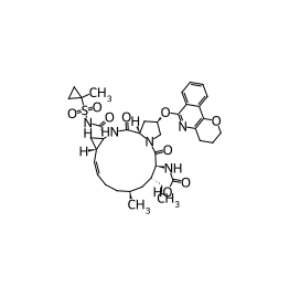 CC[C@@H]1C[C@@H](C)CCC=C[C@@H]2C[C@@]2(C(=O)NS(=O)(=O)C2(C)CC2)NC(=O)[C@@H]2C[C@@H](Oc3nc4c(c5ccccc35)OCCC4)CN2C(=O)[C@H]1NC(=O)O